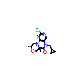 C[C@@H]1CN2c3nc(Cl)ncc3N(CC3CC3)C(=O)C2(C)CO1